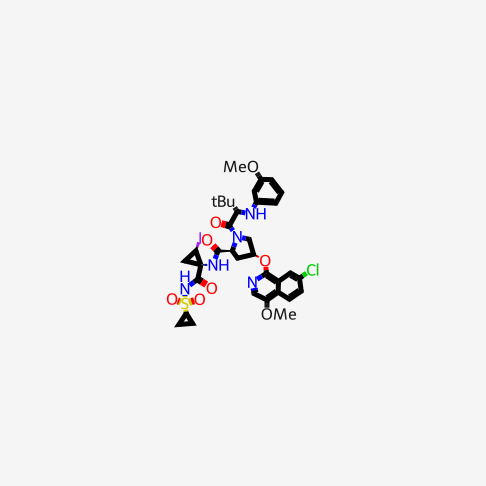 COc1cccc(NC(C(=O)N2C[C@H](Oc3ncc(OC)c4ccc(Cl)cc34)C[C@H]2C(=O)N[C@]2(C(=O)NS(=O)(=O)C3CC3)C[C@H]2I)C(C)(C)C)c1